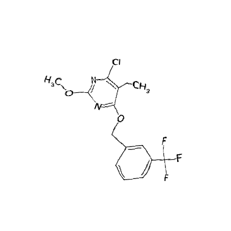 COc1nc(Cl)c(C)c(OCc2cccc(C(F)(F)F)c2)n1